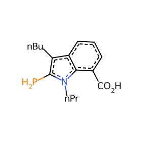 CCCCc1c(P)n(CCC)c2c(C(=O)O)cccc12